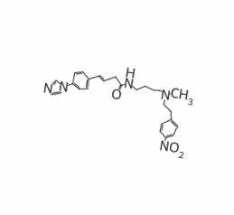 CN(CCCCNC(=O)C/C=C/c1ccc(-n2ccnc2)cc1)CCc1ccc([N+](=O)[O-])cc1